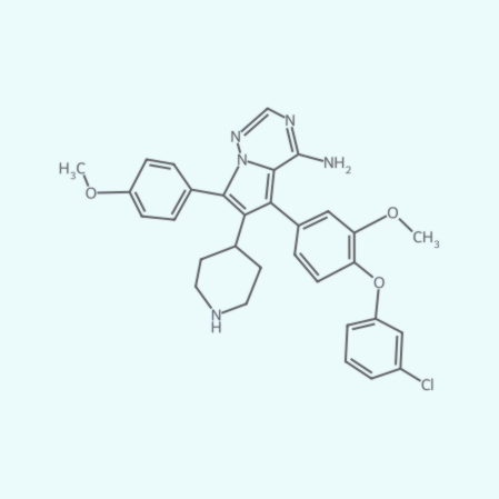 COc1ccc(-c2c(C3CCNCC3)c(-c3ccc(Oc4cccc(Cl)c4)c(OC)c3)c3c(N)ncnn23)cc1